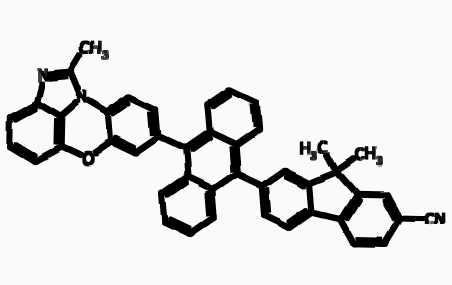 Cc1nc2cccc3c2n1-c1ccc(-c2c4ccccc4c(-c4ccc5c(c4)C(C)(C)c4cc(C#N)ccc4-5)c4ccccc24)cc1O3